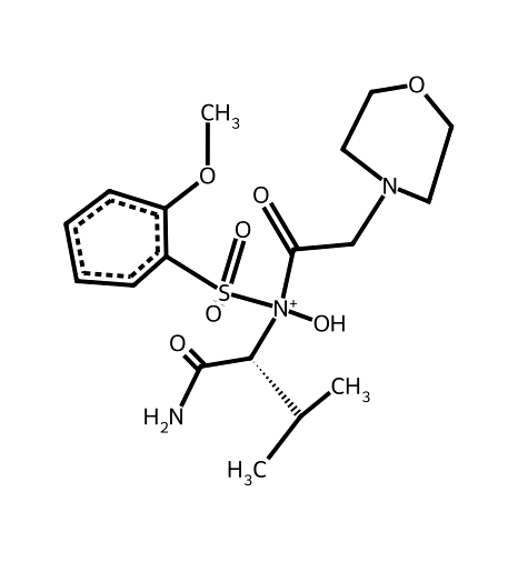 COc1ccccc1S(=O)(=O)[N+](O)(C(=O)CN1CCOCC1)[C@@H](C(N)=O)C(C)C